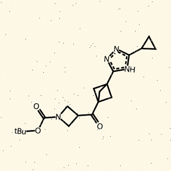 CC(C)(C)OC(=O)N1CC(C(=O)C23CC(c4nnc(C5CC5)[nH]4)(C2)C3)C1